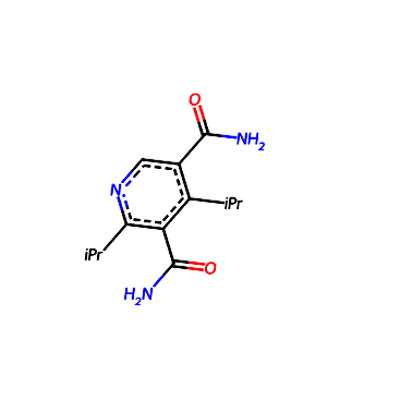 CC(C)c1ncc(C(N)=O)c(C(C)C)c1C(N)=O